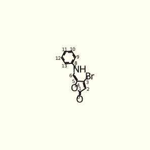 O=C1C=C(Br)C(=CNc2ccccc2)O1